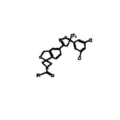 CC(C)C(=O)N1CC2(C1)OCc1cc(C3=NSC(c4cc(Cl)cc(Cl)c4)(C(F)(F)F)C3)ccc12